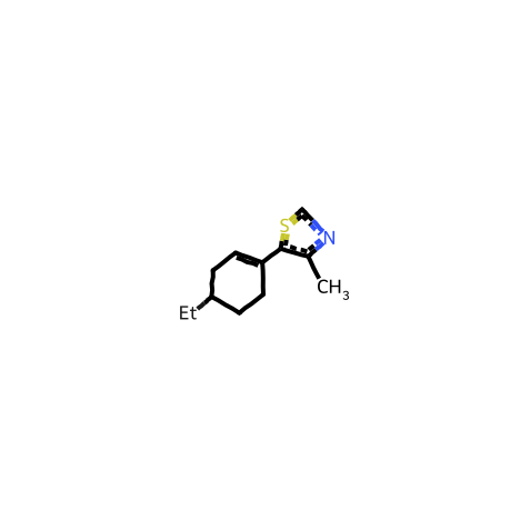 CCC1CC=C(c2scnc2C)CC1